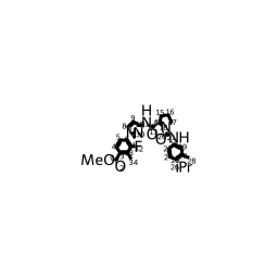 COC(=O)c1ccc(-n2ccc(NC(=O)[C@H]3CCCN3C(=O)Nc3ccc(C(C)C)c(C)c3)n2)c(F)c1C